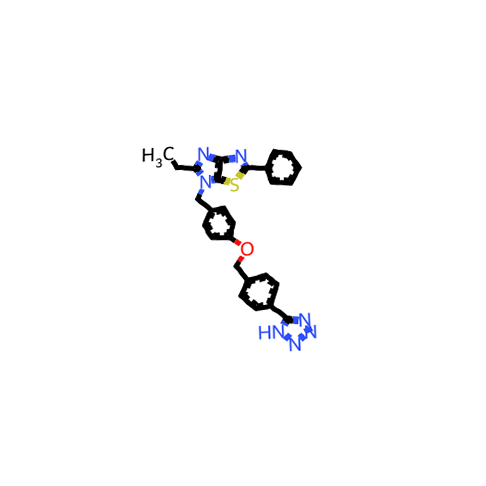 CCc1nc2nc(-c3ccccc3)sc2n1Cc1ccc(OCc2ccc(-c3nnn[nH]3)cc2)cc1